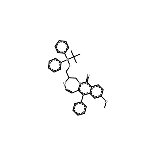 COc1ccc2c(=O)n3c(c(-c4ccccc4)c2c1)C=NOC(CO[Si](c1ccccc1)(c1ccccc1)C(C)(C)C)C3